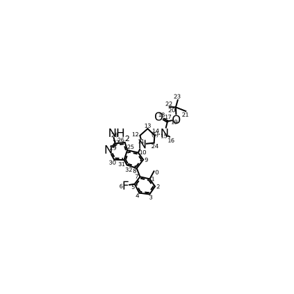 Cc1cccc(F)c1-c1cc(N2CC[C@H](N(C)C(=O)OC(C)(C)C)C2)c2cc(N)ncc2c1